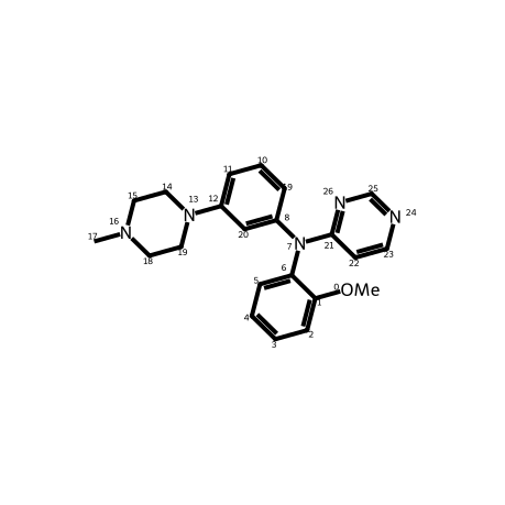 COc1ccccc1N(c1[c]ccc(N2CCN(C)CC2)c1)c1ccncn1